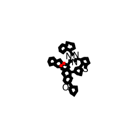 c1ccc(-c2nc(-c3cccc4ccccc34)nc(-c3cccc4sc5ccc(-c6cc(-c7ccc8ccccc8c7)cc7cc8oc9ccccc9c8cc67)cc5c34)n2)cc1